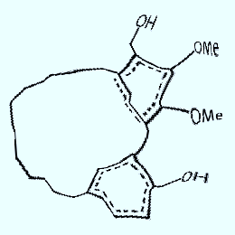 COc1c2cc(c(O)c1OC)CCCCCCCc1ccc(O)c-2c1